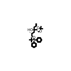 C=CC[C@@](O)(C[C@@H](C)CO[Si](c1ccccc1)(c1ccccc1)C(C)(C)C)[C@H]1COC(C)(C)O1